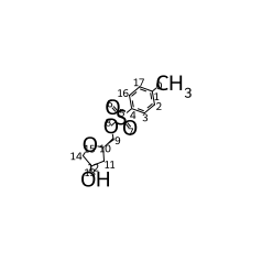 Cc1ccc(S(=O)(=O)OC[C@H]2C[C@@H](O)CO2)cc1